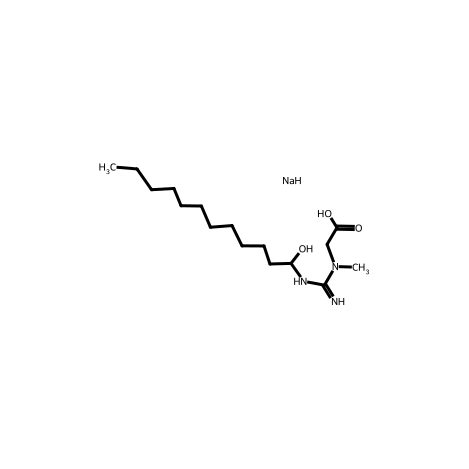 CCCCCCCCCCCC(O)NC(=N)N(C)CC(=O)O.[NaH]